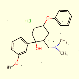 CC(C)Oc1cccc(C2(O)CCC(Oc3ccccc3)CC2CN(C)C)c1.Cl